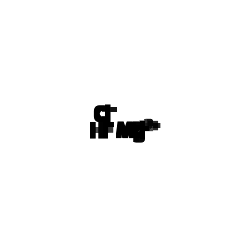 F.[Cl-].[Cl-].[Mg+2]